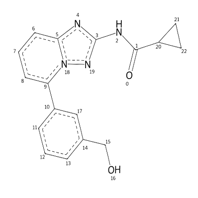 O=C(Nc1nc2cccc(-c3cccc(CO)c3)n2n1)C1CC1